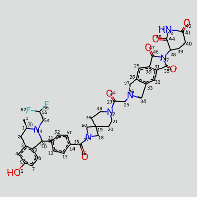 C[C@@H]1Cc2cc(O)ccc2[C@H](c2ccc(C(=O)N3CC4(CCN(C(=O)CN5Cc6cc7c(cc6C5)C(=O)N(C5CCC(=O)NC5=O)C7=O)CC4)C3)cc2)N1CC(F)F